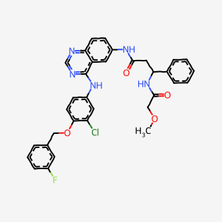 COCC(=O)NC(CC(=O)Nc1ccc2ncnc(Nc3ccc(OCc4cccc(F)c4)c(Cl)c3)c2c1)c1ccccc1